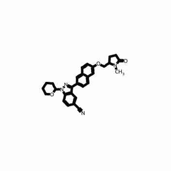 CN1C(=O)CCC1COc1ccc2cc(-c3nn(C4CCCCO4)c4ccc(C#N)cc34)ccc2c1